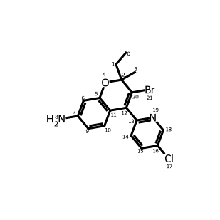 CCC1(C)Oc2cc(N)ccc2C(c2ccc(Cl)cn2)=C1Br